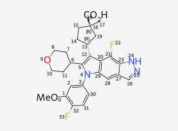 COc1cc(-n2c(C3CCOCC3)c([C@@H]3CC[C@@](C)(C(=O)O)C3)c3c(F)c4[nH]ncc4cc32)ccc1F